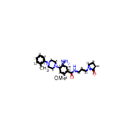 COc1cc(N2CCN(c3ccccc3C)CC2)c(N)cc1C(=O)NCCCN1CCCC1=O